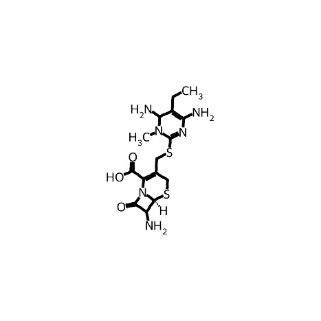 CCC1=C(N)N=C(SCC2=C(C(=O)O)N3C(=O)C(N)[C@@H]3SC2)N(C)C1N